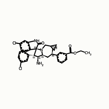 CCOC(=O)c1cccc([C@H](O)C[C@H]2[C@@H](N)[C@H](c3cccc(Cl)c3)[C@]3(C(=O)Nc4cc(Cl)ccc43)N2CC2CC2)c1